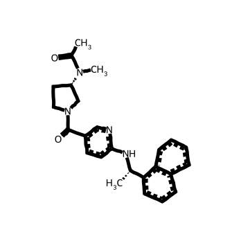 CC(=O)N(C)[C@H]1CCN(C(=O)c2ccc(N[C@@H](C)c3cccc4ccccc34)nc2)C1